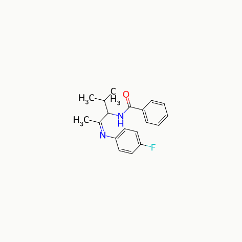 CC(=Nc1ccc(F)cc1)C(NC(=O)c1ccccc1)C(C)C